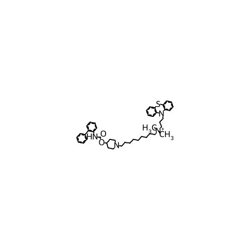 C[N+](C)(CCCCCCCCCN1CCC(OC(=O)Nc2ccccc2-c2ccccc2)CC1)CCCN1c2ccccc2Sc2ccccc21